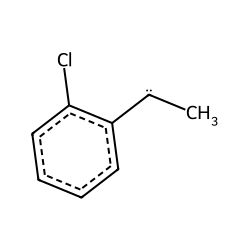 C[C]c1ccccc1Cl